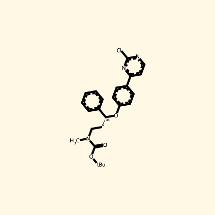 CN(CC[C@@H](Oc1ccc(-c2ccnc(Cl)n2)cc1)c1ccccc1)C(=O)OC(C)(C)C